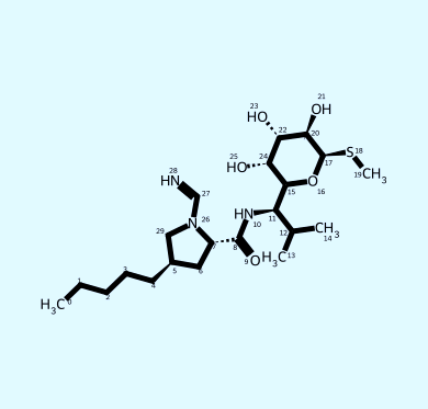 CCCCC[C@@H]1C[C@@H](C(=O)N[C@H](C(C)C)C2O[C@H](SC)[C@H](O)[C@@H](O)[C@H]2O)N(C=N)C1